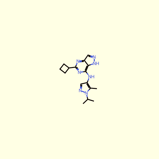 Cc1c(Nc2nc(C3CCC3)nc3cn[nH]c23)cnn1C(C)C